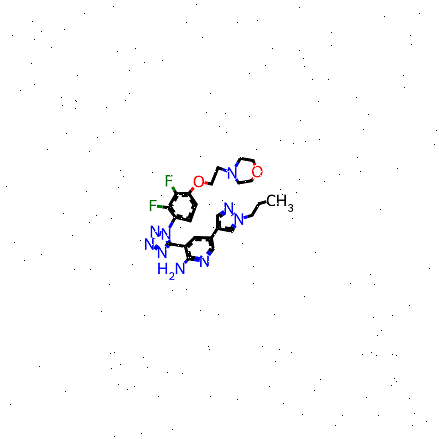 CCCn1cc(-c2cnc(N)c(-c3nnnn3-c3ccc(OCCN4CCOCC4)c(F)c3F)c2)cn1